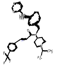 CC(C)N1CCC(N(Cc2cccc(Nc3ccncn3)c2)C(=O)/C=C/c2ccc(C(F)(F)F)cc2)CC1